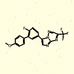 COc1ccc(-c2cc(-c3cnc4nc(C(F)(F)F)cnn34)ccc2F)cc1